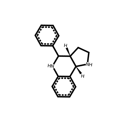 c1ccc(C2Nc3ccccc3[C@H]3NCC[C@@H]23)cc1